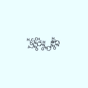 CC(C)n1c(=O)n(CC2CC2)c(=O)c2cc(NC(=O)N3CCC[C@@H](NC(=O)c4ncccc4N)C3)ccc21